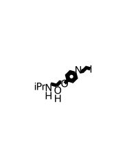 CC(C)NCC(O)COc1ccc(N=CCI)cc1